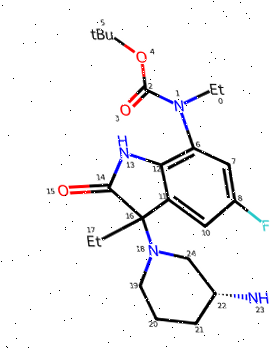 CCN(C(=O)OC(C)(C)C)c1cc(F)cc2c1NC(=O)C2(CC)N1CCC[C@@H](N)C1